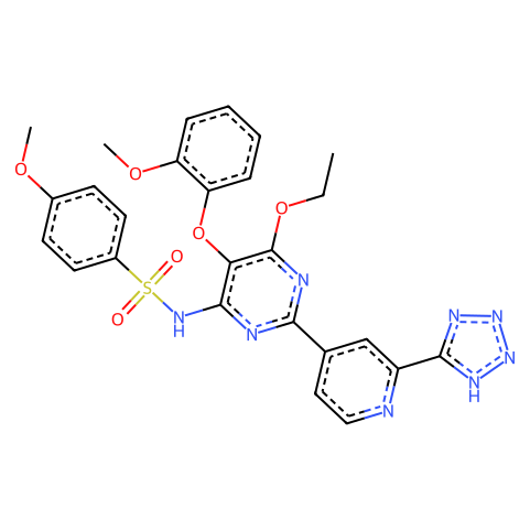 CCOc1nc(-c2ccnc(-c3nnn[nH]3)c2)nc(NS(=O)(=O)c2ccc(OC)cc2)c1Oc1ccccc1OC